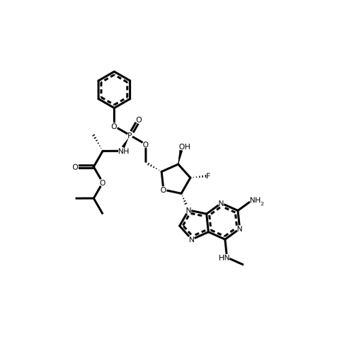 CNc1nc(N)nc2c1ncn2[C@@H]1O[C@H](CO[P@](=O)(N[C@@H](C)C(=O)OC(C)C)Oc2ccccc2)[C@@H](O)[C@@H]1F